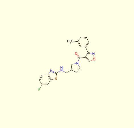 Cc1cccc(-c2nocc2C(=O)N2CCC(CNc3nc4ccc(F)cc4s3)C2)c1